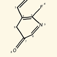 C=CC1=C(F)N=CC(=O)C1